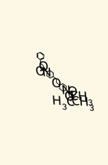 CC(C)(C)OC(=O)N1CCC(OCC2CCN(C(=O)OCc3ccccc3)CC2)CC1